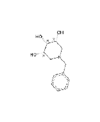 O[C@@H]1[C@H](O)CN(Cc2ccccc2)C[C@@H]1O